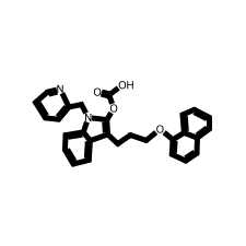 O=C(O)Oc1c(CCCOc2cccc3ccccc23)c2ccccc2n1Cc1ccccn1